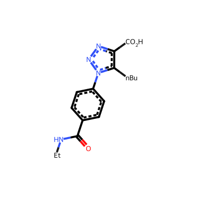 CCCCc1c(C(=O)O)nnn1-c1ccc(C(=O)NCC)cc1